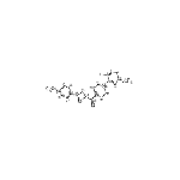 CC1=CCC(C(F)(F)F)C=C1N1CCN(C(=O)C2CC(c3ccc(C(F)(F)F)cc3)O2)CC1